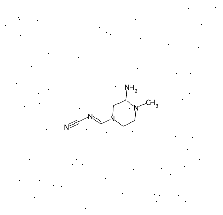 CN1CCN(C=NC#N)CC1N